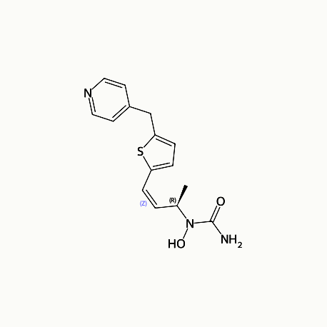 C[C@H](/C=C\c1ccc(Cc2ccncc2)s1)N(O)C(N)=O